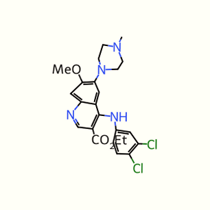 CCOC(=O)c1cnc2cc(OC)c(N3CCN(C)CC3)cc2c1Nc1ccc(Cl)c(Cl)c1